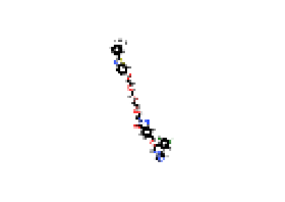 CNc1ccc(-c2nc3ccc(OCCOCCOCCOCCNC(=O)c4ccc(COC(Cn5ccnc5)c5ccc(Cl)cc5Cl)cc4)cc3s2)cc1